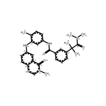 Cc1ccc(NC(=O)c2cccc(C(C)(C)C(=O)N(C)C)c2)cc1Nc1ccc2ncn(C)c(=O)c2c1